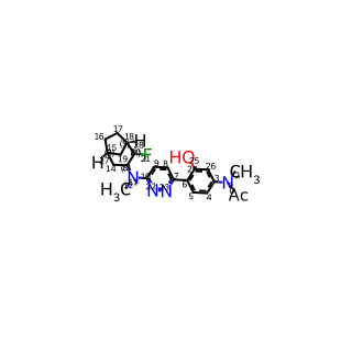 CC(=O)N(C)c1ccc(-c2ccc(N(C)[C@H]3C[C@@H]4CC[C@@H](C4)[C@H]3F)nn2)c(O)c1